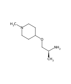 C[C@H](N)COC1CCN(C)CC1